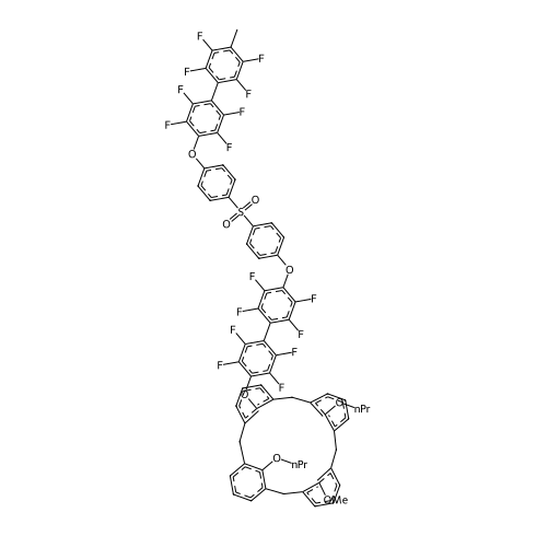 CCCOc1c2cccc1Cc1cccc(c1Oc1c(F)c(F)c(-c3c(F)c(F)c(Oc4ccc(S(=O)(=O)c5ccc(Oc6c(F)c(F)c(-c7c(F)c(F)c(C)c(F)c7F)c(F)c6F)cc5)cc4)c(F)c3F)c(F)c1F)Cc1cccc(c1OCCC)Cc1cccc(c1OC)C2